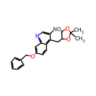 CC1(C)OCC([CH]c2c([N+](=O)[O-])cnc3cc(OCc4ccccc4)ccc23)O1